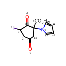 O=C1CC(I)C(=O)C(C(=O)O)(n2cccc2)C1